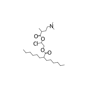 CCCCCCC(CCCCCC)C(=O)OCC(Cl)OC(=O)C(C)CCN(C)C